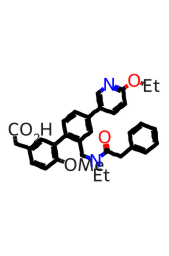 CCOc1ccc(-c2ccc(-c3cc(CC(=O)O)ccc3OC)c(CN(CC)C(=O)Cc3ccccc3)c2)cn1